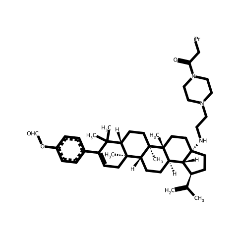 C=C(C)[C@@H]1CC[C@]2(NCCN3CCN(C(=O)CC(C)C)CC3)CC[C@]3(C)[C@H](CC[C@@H]4[C@@]5(C)CC=C(c6ccc(OC=O)cc6)C(C)(C)[C@@H]5CC[C@]43C)[C@@H]12